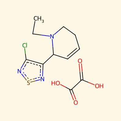 CCN1CCC=CC1c1nsnc1Cl.O=C(O)C(=O)O